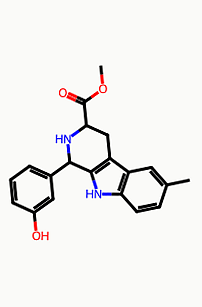 COC(=O)C1Cc2c([nH]c3ccc(C)cc23)C(c2cccc(O)c2)N1